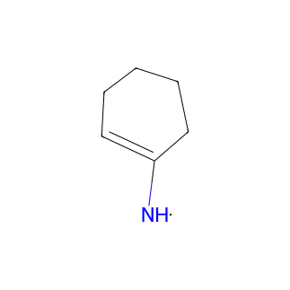 [NH]C1=CCCCC1